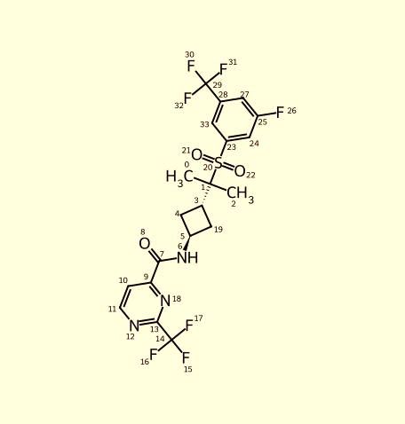 CC(C)([C@H]1C[C@H](NC(=O)c2ccnc(C(F)(F)F)n2)C1)S(=O)(=O)c1cc(F)cc(C(F)(F)F)c1